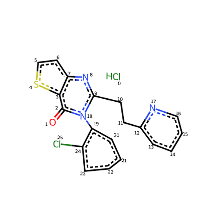 Cl.O=c1c2sccc2nc(CCc2ccccn2)n1-c1ccccc1Cl